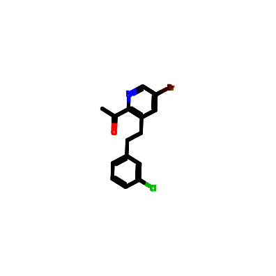 CC(=O)c1ncc(Br)cc1CCc1cccc(Cl)c1